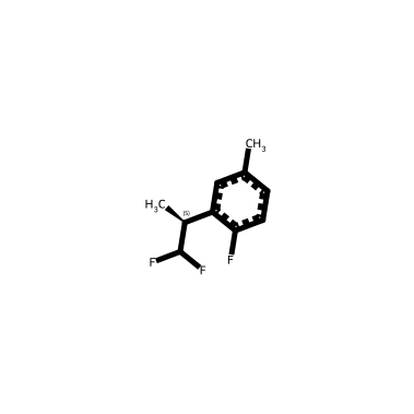 Cc1ccc(F)c([C@H](C)C(F)F)c1